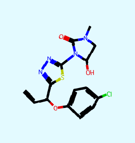 C=CC(Oc1ccc(Cl)cc1)c1nnc(N2C(=O)N(C)CC2O)s1